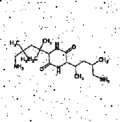 CC(CN)CC(C)C1NC(=O)C(C(C)(C)CC(C)(C)CN)NC1=O